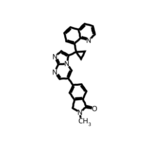 CN1Cc2cc(-c3cnc4ncc(C5(c6cccc7cccnc67)CC5)n4c3)ccc2C1=O